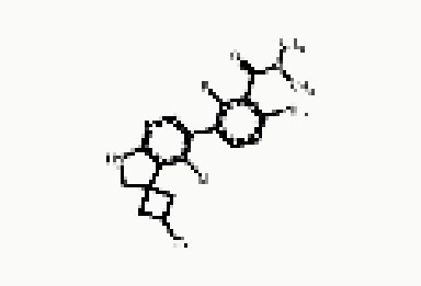 CN(C)C(=O)c1c(N)ccc(-c2cnc3c(c2Cl)C2(CN3)CC(C#N)C2)c1F